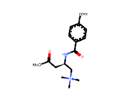 CCCCCCCCCCc1ccc(C(=O)N[C@H](CC(=O)OC)C[N+](C)(C)C)cc1